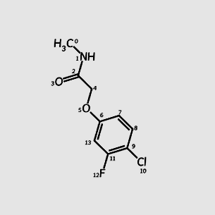 CNC(=O)COc1ccc(Cl)c(F)c1